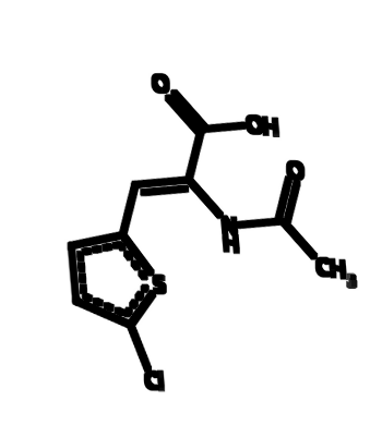 CC(=O)NC(=Cc1ccc(Cl)s1)C(=O)O